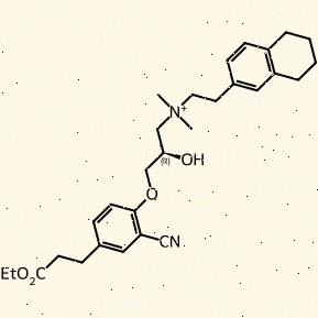 CCOC(=O)CCc1ccc(OC[C@H](O)C[N+](C)(C)CCc2ccc3c(c2)CCCC3)c(C#N)c1